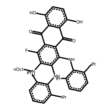 CCCCCCCCNc1c(F)c2c(c(Nc3c(C(C)C)cccc3C(C)C)c1Nc1c(C(C)C)cccc1C(C)C)C(=O)c1c(O)ccc(O)c1C2=O